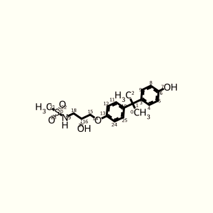 CC(C)(c1ccc(O)cc1)c1ccc(OC[C@H](O)CNS(C)(=O)=O)cc1